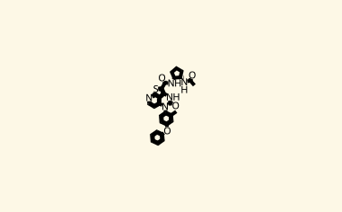 CC(=O)N[C@H]1CCCC1NC(=O)c1sc2nccc3c2c1NC(=O)N3c1ccc(Oc2ccccc2)cc1C